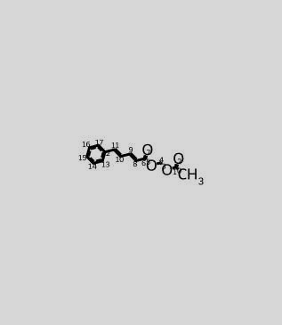 CC(=O)OCOC(=O)/C=C/C=C/c1ccccc1